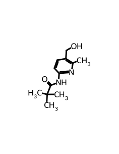 Cc1nc(NC(=O)C(C)(C)C)ccc1CO